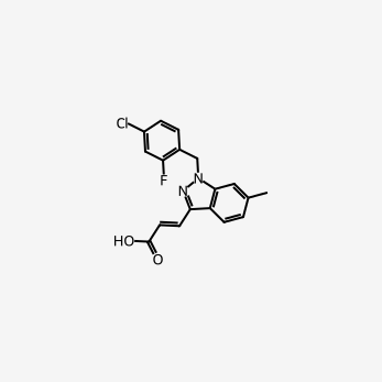 Cc1ccc2c(C=CC(=O)O)nn(Cc3ccc(Cl)cc3F)c2c1